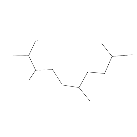 [CH2]C(C)C(C)CCC(C)CCC(C)C